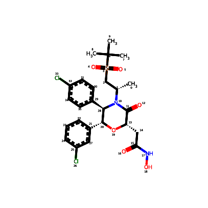 C[C@@H](CS(=O)(=O)C(C)(C)C)N1C(=O)[C@H](CC(=O)NO)O[C@H](c2cccc(Cl)c2)[C@H]1c1ccc(Cl)cc1